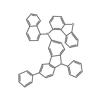 c1ccc(-c2ccc3c(c2)c2cc(N(c4cccc5ccccc45)c4cccc5oc6ccccc6c45)ccc2n3-c2ccccc2)cc1